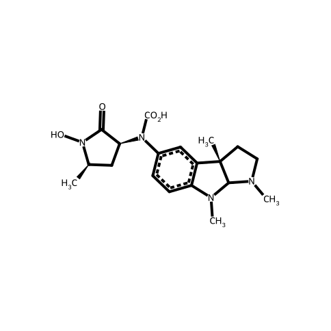 C[C@@H]1C[C@H](N(C(=O)O)c2ccc3c(c2)[C@]2(C)CCN(C)C2N3C)C(=O)N1O